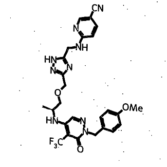 COc1ccc(Cn2ncc(N[C@@H](C)COCc3n[nH]c(CNc4ccc(C#N)cn4)n3)c(C(F)(F)F)c2=O)cc1